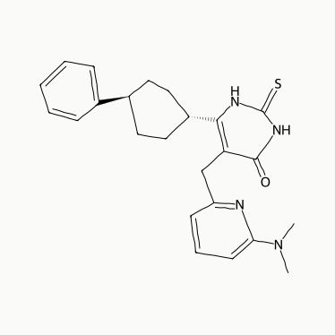 CN(C)c1cccc(Cc2c(=O)[nH]c(=S)[nH]c2[C@H]2CC[C@H](c3ccccc3)CC2)n1